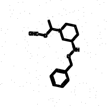 CC(OC=O)N1CCC[C@@H](NOCc2ccccc2)C1